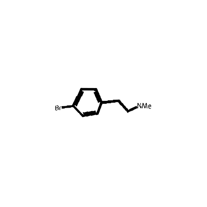 [CH2-][NH2+]CCc1ccc(Br)cc1